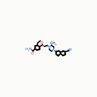 C[C@@H]1CN(c2ccc3ccc(C#N)cc3c2)CCN1CC[C@@H]1OCCc2cc(C(N)=O)ccc21